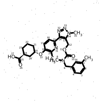 Cc1cccc(CN(C)C(=O)OCc2c(-c3ccc(O[C@H]4CCC[C@H](C(=O)O)C4)c(C)n3)nnn2C)c1